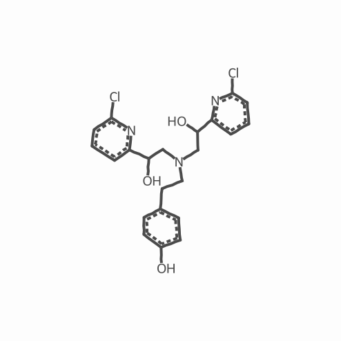 Oc1ccc(CCN(CC(O)c2cccc(Cl)n2)CC(O)c2cccc(Cl)n2)cc1